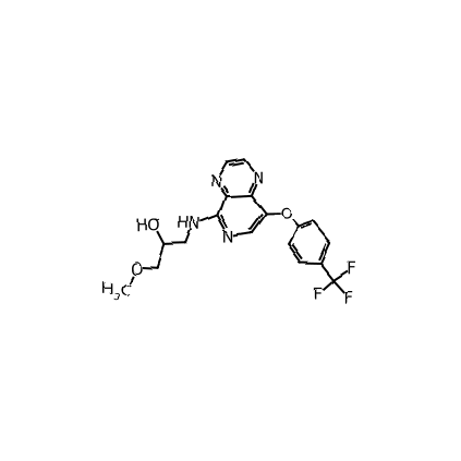 COCC(O)CNc1ncc(Oc2ccc(C(F)(F)F)cc2)c2nccnc12